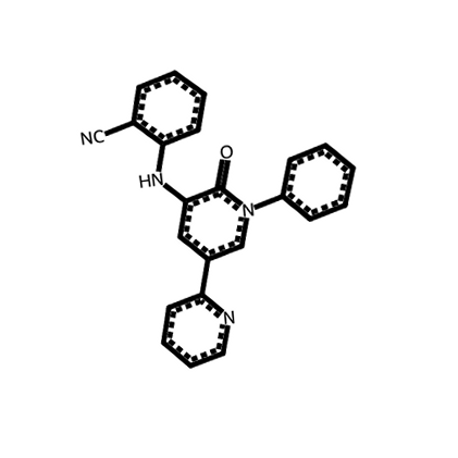 N#Cc1ccccc1Nc1cc(-c2ccccn2)cn(-c2ccccc2)c1=O